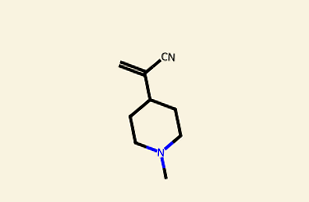 C=C(C#N)C1CCN(C)CC1